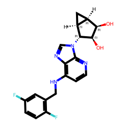 O[C@@H]1[C@H](O)[C@@H]2C[C@@H]2[C@H]1n1cnc2c(NCc3cc(F)ccc3F)ccnc21